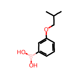 CC(C)COc1cccc(B(O)O)c1